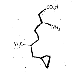 C[C@H](CC[C@H](N)CC(=O)O)CC1CC1